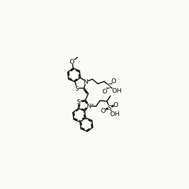 COc1ccc2c(c1)N(CCCS(=O)(=O)O)/C(=C/c1sc3ccc4ccccc4c3[n+]1CCC(C)S(=O)(=O)O)S2